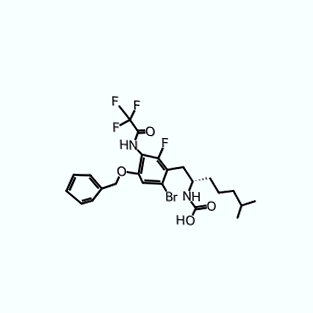 CC(C)CCC[C@@H](Cc1c(Br)cc(OCc2ccccc2)c(NC(=O)C(F)(F)F)c1F)NC(=O)O